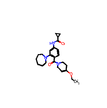 CCOC1CCN(C(=O)c2ccc(NC(=O)C3CC3)cc2N2CCCCCC2)CC1